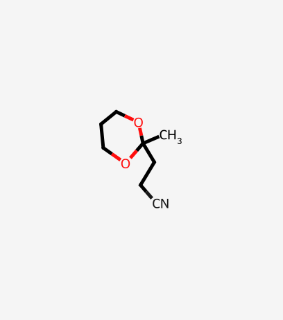 CC1(CCC#N)OCCCO1